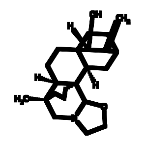 C=C1C2CCC3(CC[C@@H]4[C@@]5(C)CCC[C@@]4(C4OCCN4C5)[C@@H]3C2)[C@@H]1O